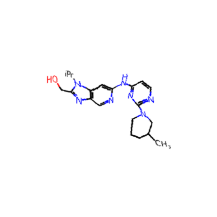 CC1CCCN(c2nccc(Nc3cc4c(cn3)nc(CO)n4C(C)C)n2)C1